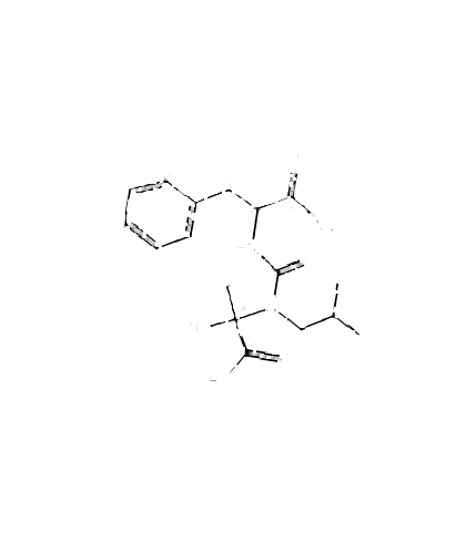 CC(C)CN(C(=O)NC(Cc1ccccc1)C(N)=O)C(C)(O)C(=O)O